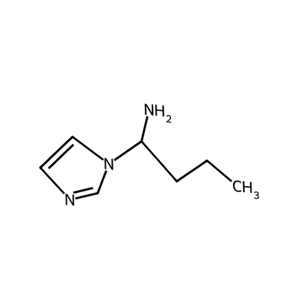 CCCC(N)n1ccnc1